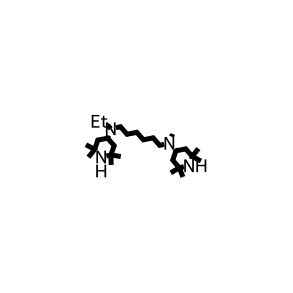 CCN(CCCCCCN(C)C1CC(C)(C)NC(C)(C)C1)C1CC(C)(C)NC(C)(C)C1